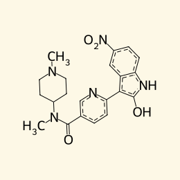 CN1CCC(N(C)C(=O)c2ccc(-c3c(O)[nH]c4ccc([N+](=O)[O-])cc34)nc2)CC1